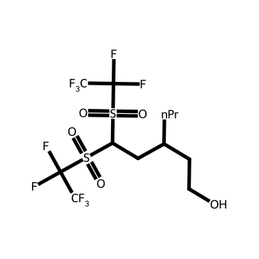 CCCC(CCO)CC(S(=O)(=O)C(F)(F)C(F)(F)F)S(=O)(=O)C(F)(F)C(F)(F)F